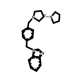 c1ccc2c(c1)ncn2Cc1ccc(CN2CC[C@H](N3CCCC3)C2)cc1